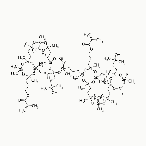 C=C(C)C(=O)OCCC[Si]1(C)O[Si](C)(C)O[Si](C)(CC[Si](C)(C)O[Si](C)(C)O[Si](C)(C)CC[Si]2(C)O[SiH2]O[Si](C)(CCC[Si]3(C)O[Si](C)(CCCOC(=O)C(=C)C)O[Si](C)(C)O[Si](C)(CC[Si](C)(C)O[Si](C)(C)O[Si](C)(C)CC[Si]4(C)O[SiH2]O[Si](C)(CC)O[Si](C)(CC[Si](C)(C)O)O4)O3)O[Si](C)(CC[Si](C)(C)O)O2)O[Si](C)(C)O1